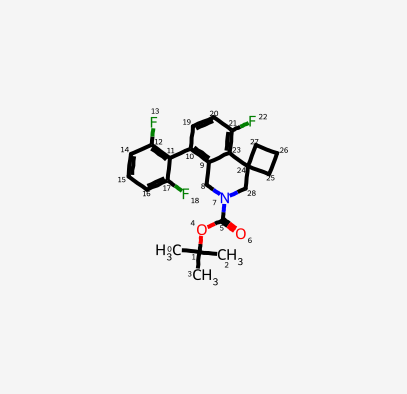 CC(C)(C)OC(=O)N1Cc2c(-c3c(F)cccc3F)ccc(F)c2C2(CCC2)C1